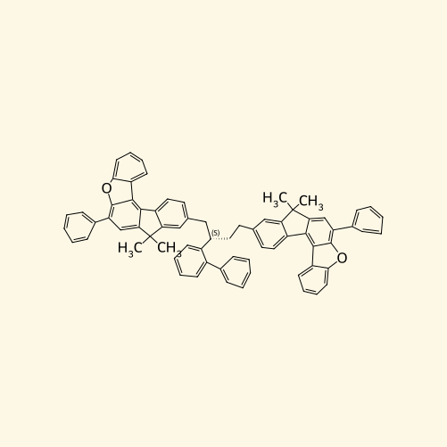 CC1(C)c2cc(CC[C@@H](Cc3ccc4c(c3)C(C)(C)c3cc(-c5ccccc5)c5oc6ccccc6c5c3-4)c3ccccc3-c3ccccc3)ccc2-c2c1cc(-c1ccccc1)c1oc3ccccc3c21